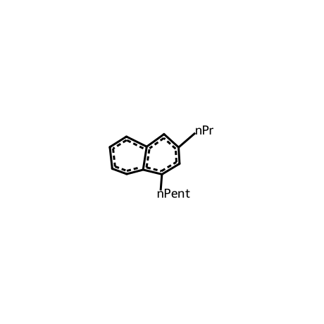 [CH2]CCCCc1cc(CCC)cc2ccccc12